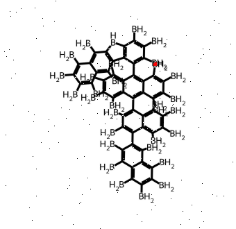 Bc1c(B)c2c(c(-c3c4c(B)c(B)c(B)c(B)c4c(-c4c(B)c(B)c(-c5c(B)c(B)c6c(B)c(B)c(B)c(B)c6c5B)c5c(B)c(B)c(B)c(B)c45)c4c(B)c(B)c(B)c(B)c34)c1B)-c1c(c(B)c3c(B)c(B)c(B)c(B)c3c1B)B2